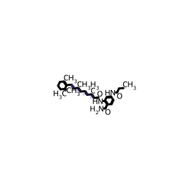 CCCC(=O)Nc1ccc(C(N)=O)c(NC(=O)/C=C(C)/C=C/C=C(C)/C=C/C2=C(C)CCCC2(C)C)c1